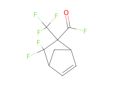 O=C(F)C1(C(F)(F)F)C2C=CC(C2)C1(F)F